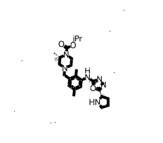 Cc1cc(CN2CCN(C(=O)OC(C)C)[C@@H](C)C2)c(C)c(Nc2nnc([C@@H]3CCCN3)o2)c1